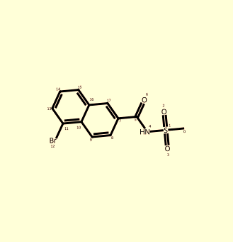 CS(=O)(=O)NC(=O)c1ccc2c(Br)cccc2c1